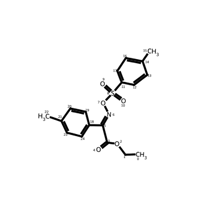 CCOC(=O)/C(=N/OS(=O)(=O)c1ccc(C)cc1)c1ccc(C)cc1